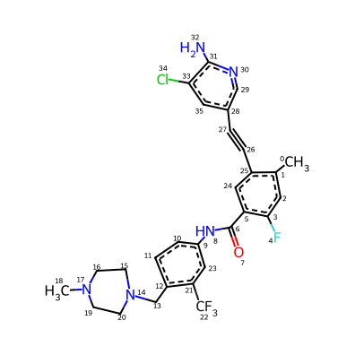 Cc1cc(F)c(C(=O)Nc2ccc(CN3CCN(C)CC3)c(C(F)(F)F)c2)cc1C#Cc1cnc(N)c(Cl)c1